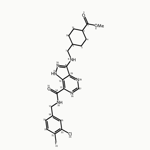 COC(=O)C1CCC(CNc2n[nH]c3c(C(=O)NCc4ccc(F)c(Cl)c4)ncnc23)CC1